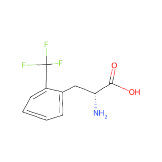 N[C@H](Cc1ccccc1C(F)(F)F)C(=O)O